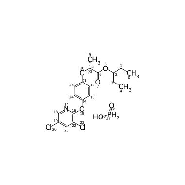 CCC(CC)OC(=O)[C@@H](C)Oc1ccc(Oc2ncc(Cl)cc2Cl)cc1.O=[PH2]O